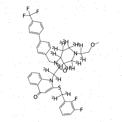 [2H]C([2H])(Sc1cc(=O)c2ccccc2n1C([2H])([2H])C(=O)N(Cc1ccc(-c2ccc(C(F)(F)F)cc2)cc1)C1([2H])C([2H])([2H])C([2H])([2H])N(C([2H])([2H])COC)C([2H])([2H])C1([2H])[2H])c1cccc(F)c1F